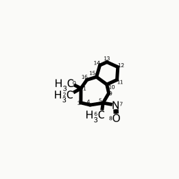 CC1(C)CCC(C)(N=O)CC2CCCCC2C1